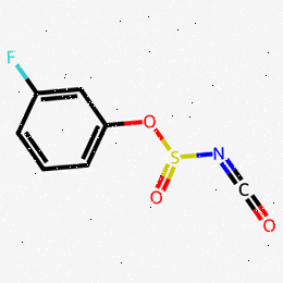 O=C=NS(=O)Oc1cccc(F)c1